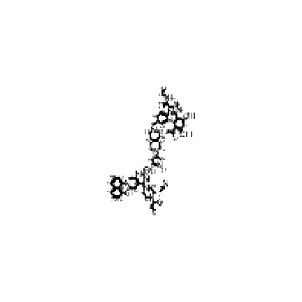 C=CC(=O)N1CCN(c2nc(OC[C@@H]3C[C@H](N4CCC5(CCN(Cc6ccc(-n7c(C(=O)NCC)nnc7-c7cc(C(C)C)c(O)cc7O)cc6)CC5)CC4)CN3C)nc3c2CCN(c2cccc4cccc(Cl)c24)C3)C[C@@H]1CC#N